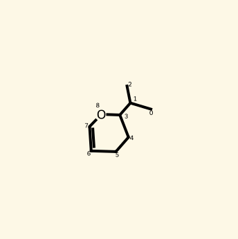 CC(C)C1CCC=CO1